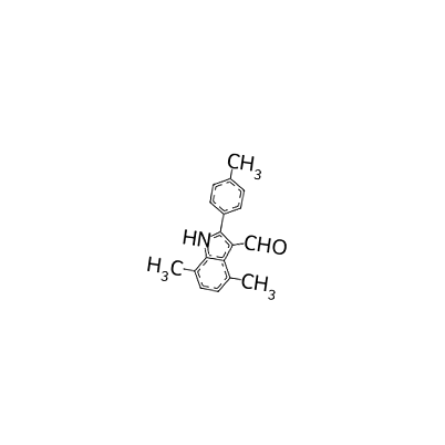 Cc1ccc(-c2[nH]c3c(C)ccc(C)c3c2C=O)cc1